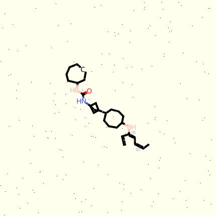 C=C/C(BC1CCCC(C23CC(NC(=O)BC4CCCCCCC4)(C2)C3)CCC1)=C\C=C/C